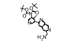 Cc1c(-c2cc3cc(CN)ncc3cn2)cncc1N(C(=O)OC(C)(C)C)C(=O)OC(C)(C)C